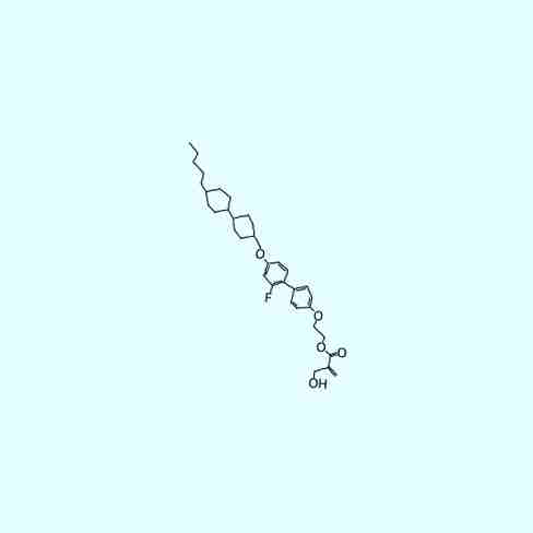 C=C(CO)C(=O)OCCOc1ccc(-c2ccc(OCC3CCC(C4CCC(CCCCC)CC4)CC3)cc2F)cc1